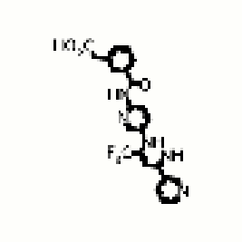 N=C(/C=C(\Nc1ccc(NC(=O)c2cccc(CC(=O)O)c2)nc1)C(F)(F)F)c1cccnc1